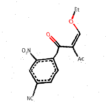 CCO/C=C(/C(C)=O)C(=O)c1ccc(C#N)cc1[N+](=O)[O-]